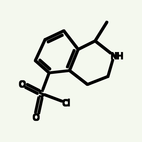 CC1NCCc2c1cccc2S(=O)(=O)Cl